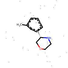 Cc1cccc([C@H]2COCCN2)c1